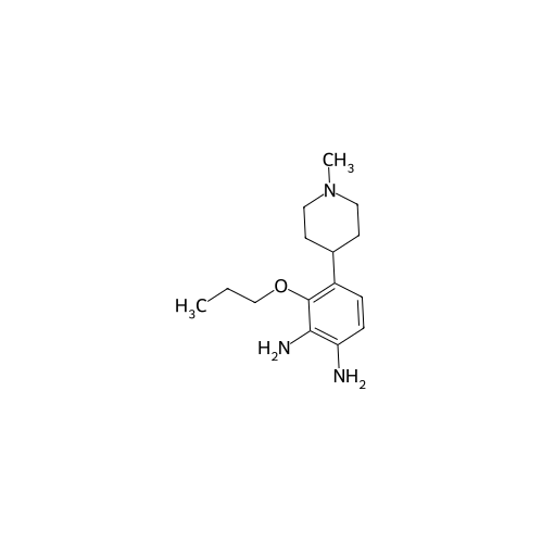 CCCOc1c(C2CCN(C)CC2)ccc(N)c1N